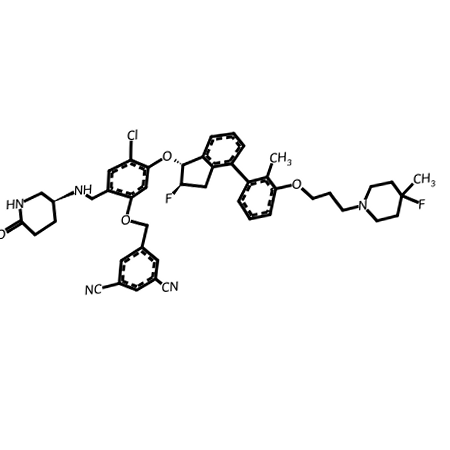 Cc1c(OCCCN2CCC(C)(F)CC2)cccc1-c1cccc2c1C[C@@H](F)[C@@H]2Oc1cc(OCc2cc(C#N)cc(C#N)c2)c(CN[C@H]2CCC(=O)NC2)cc1Cl